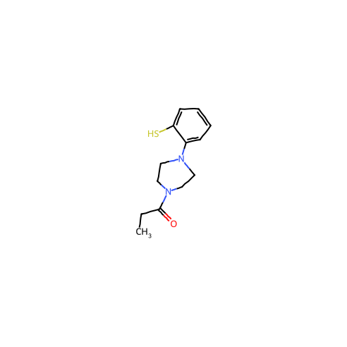 CCC(=O)N1CCN(c2ccccc2S)CC1